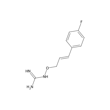 N=C(N)NOCC=Cc1ccc(F)cc1